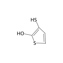 Oc1sccc1S